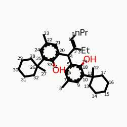 CCC/C=C(\CC)C(c1cc(C)cc(C2(C)CCCCC2)c1O)c1cc(C)cc(C2(C)CCCCC2)c1O